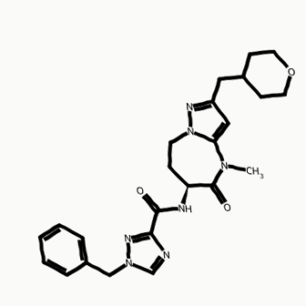 CN1C(=O)[C@@H](NC(=O)c2ncn(Cc3ccccc3)n2)CCn2nc(CC3CCOCC3)cc21